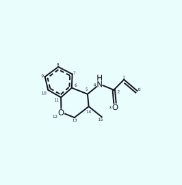 C=CC(=O)NC1c2ccccc2OCC1C